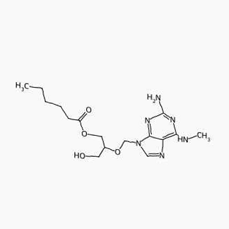 CCCCCC(=O)OCC(CO)OCn1cnc2c(NC)nc(N)nc21